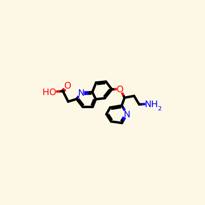 NCCC(Oc1ccc2nc(CC(=O)O)ccc2c1)c1ccccn1